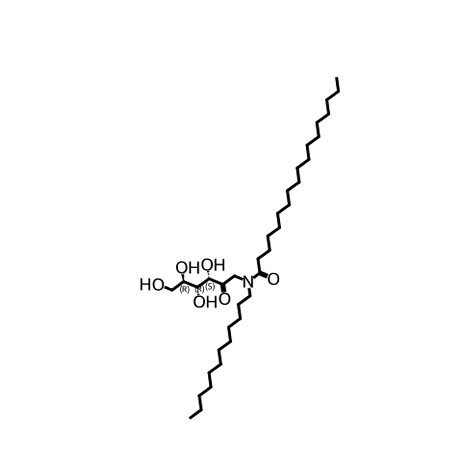 CCCCCCCCCCCCCCCCCC(=O)N(CCCCCCCCCCCC)CC(=O)[C@@H](O)[C@H](O)[C@H](O)CO